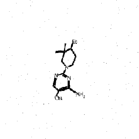 CCC1CCN(c2ncc(C#N)c(N)n2)CC1(C)C